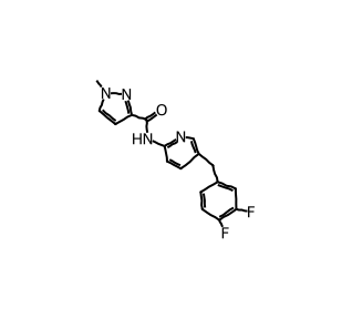 Cn1ccc(C(=O)Nc2ccc(Cc3ccc(F)c(F)c3)cn2)n1